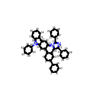 c1ccc(-c2ccc3c4cc5c(cc4n4c(-c6ccccc6)nc(-c6ccccc6)c4c3c2)c2ccccc2n5-c2ccccc2)cc1